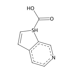 O=C(O)[SH]1C=Cc2ccncc21